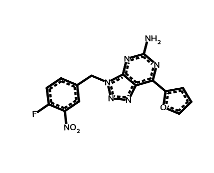 Nc1nc(-c2ccco2)c2nnn(Cc3ccc(F)c([N+](=O)[O-])c3)c2n1